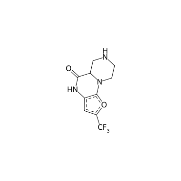 O=C1Nc2cc(C(F)(F)F)oc2N2CCNCC12